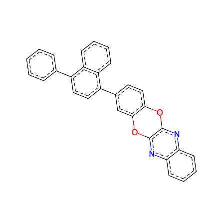 c1ccc(-c2ccc(-c3ccc4c(c3)Oc3nc5ccccc5nc3O4)c3ccccc23)cc1